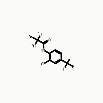 [2H]C([2H])(Br)C(=O)Nc1ccc(C(F)(F)F)cc1Cl